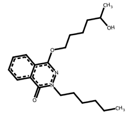 CCCCCCn1nc(OCCCCC(C)O)c2ccccc2c1=O